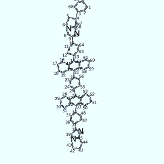 c1ccc(-c2ccn3cc(-c4ccc(-c5c6ccccc6c(-c6ccc(-c7c8ccccc8c(-c8ccc(-c9cn%10ccccc%10n9)cc8)c8ccccc78)cc6)c6ccccc56)cc4)nc3c2)cc1